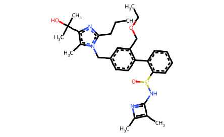 CCCc1nc(C(C)(C)O)c(C)n1Cc1ccc(-c2ccccc2[S+]([O-])NC2=NC(C)=C2C)c(COCC)c1